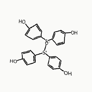 Oc1ccc(Sc2ccc(O)cc2)cc1.[O-][S+](c1ccc(O)cc1)c1ccc(O)cc1